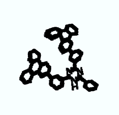 C1=CCC(C2=NC(C3=CC=CC(C4C=CC5=C(C4)C4CC=CC=C4c4ccccc45)C3)=NC(C3=CC(C4=CC5C(CC4)C4C=CC=CC4C4CC=CCC54)CCC3)N2)C=C1